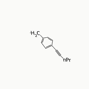 [CH2]c1ccc(C#CCCC)cc1